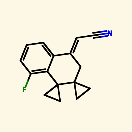 N#C/C=C1\CC2(CC2)C2(CC2)c2c(F)cccc21